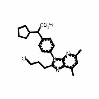 Cc1cc(C)c2nc(CCCCl)n(-c3ccc(C(C(=O)O)C4CCCC4)cc3)c2n1